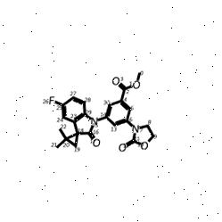 COC(=O)c1cc(N2CCOC2=O)cc(N2C(=O)C3(CC3(C)C)c3cc(F)ccc32)c1